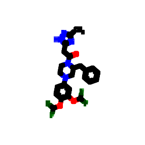 Cc1n[nH]c(CC(=O)N2CCN(c3ccc(OC(F)F)c(OC(F)F)c3)CC2Cc2ccccc2)n1